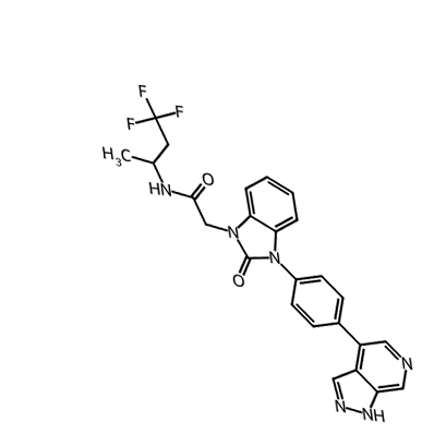 CC(CC(F)(F)F)NC(=O)Cn1c(=O)n(-c2ccc(-c3cncc4[nH]ncc34)cc2)c2ccccc21